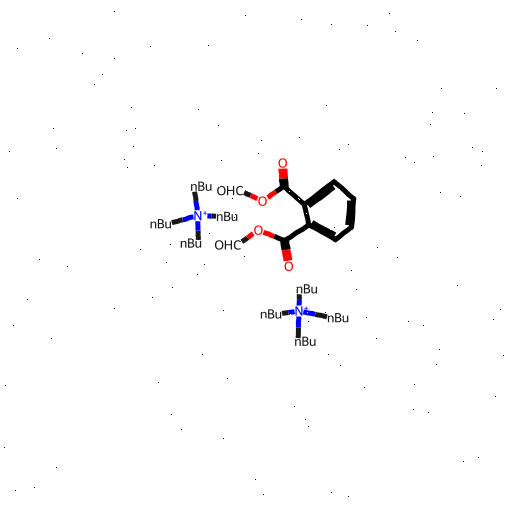 CCCC[N+](CCCC)(CCCC)CCCC.CCCC[N+](CCCC)(CCCC)CCCC.O=COC(=O)c1ccccc1C(=O)OC=O